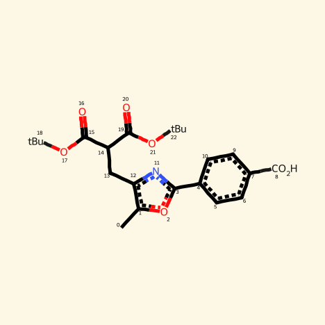 Cc1oc(-c2ccc(C(=O)O)cc2)nc1CC(C(=O)OC(C)(C)C)C(=O)OC(C)(C)C